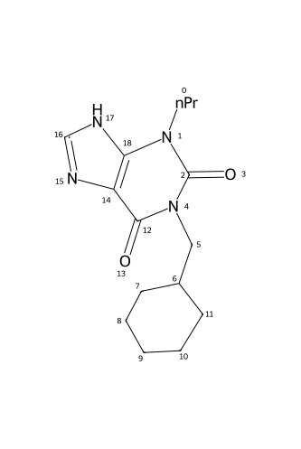 CCCn1c(=O)n(CC2CCCCC2)c(=O)c2n[c][nH]c21